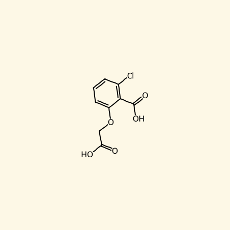 O=C(O)COc1cccc(Cl)c1C(=O)O